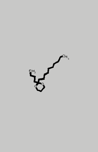 CCCCCCCCCCC1(CCCC)OCCCO1